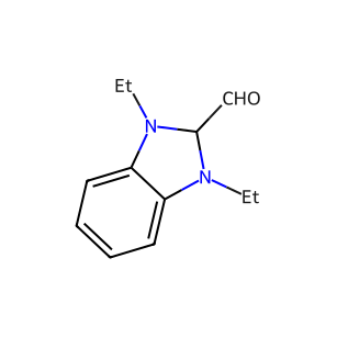 CCN1c2ccccc2N(CC)C1C=O